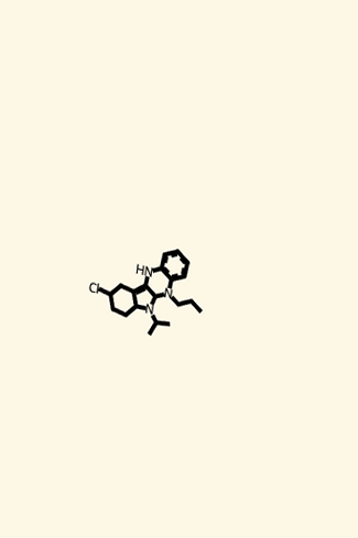 CCCN1c2ccccc2NC2=C3CC(Cl)CCC3N(C(C)C)C21